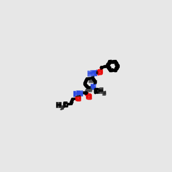 CCCONC(=O)[C@@H]1CC[C@@H](NOCc2ccccc2)CN1C